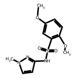 COc1ccc(OC)c(S(=O)(=O)Nc2ccn(C)n2)c1